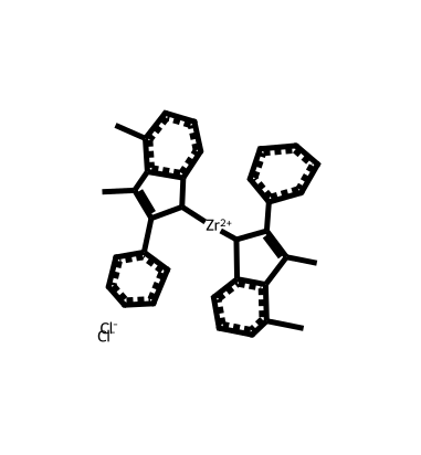 CC1=C(c2ccccc2)[CH]([Zr+2][CH]2C(c3ccccc3)=C(C)c3c(C)cccc32)c2cccc(C)c21.[Cl-].[Cl-]